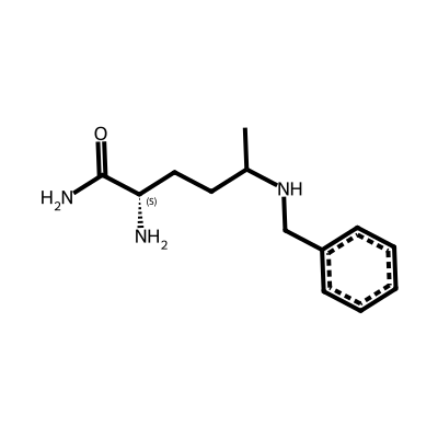 CC(CC[C@H](N)C(N)=O)NCc1ccccc1